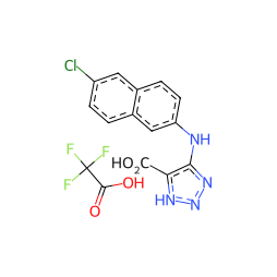 O=C(O)C(F)(F)F.O=C(O)c1[nH]nnc1Nc1ccc2cc(Cl)ccc2c1